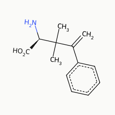 C=C(c1ccccc1)C(C)(C)[C@H](N)C(=O)O